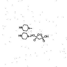 CN1CCNCC1.CN1CCNCC1.O=S(=O)(O)CS(=O)(=O)O